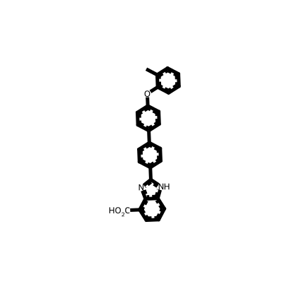 Cc1ccccc1Oc1ccc(-c2ccc(-c3nc4c(C(=O)O)cccc4[nH]3)cc2)cc1